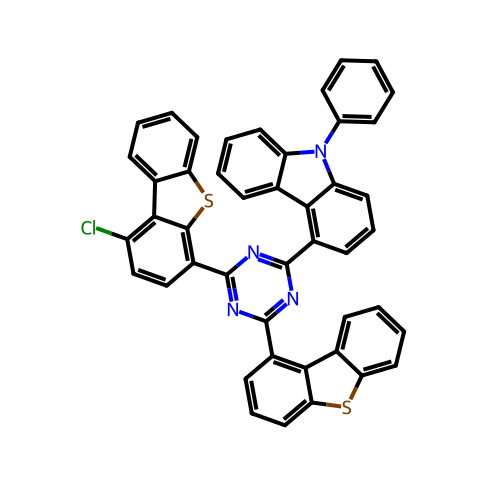 Clc1ccc(-c2nc(-c3cccc4sc5ccccc5c34)nc(-c3cccc4c3c3ccccc3n4-c3ccccc3)n2)c2sc3ccccc3c12